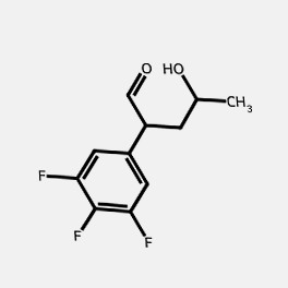 CC(O)CC(C=O)c1cc(F)c(F)c(F)c1